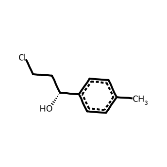 Cc1ccc([C@H](O)CCCl)cc1